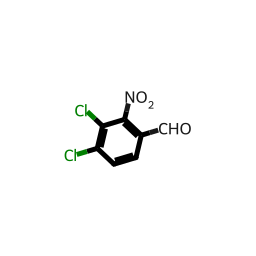 O=Cc1ccc(Cl)c(Cl)c1[N+](=O)[O-]